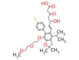 COCCOCCOc1c2c(c(C(C)C)c(/C=C/C(O)CC(=O)CC(=O)O)c1-c1ccc(F)cc1)CC(C)(C)O2